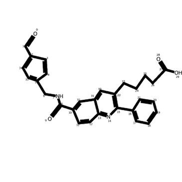 O=Cc1ccc(CNC(=O)c2ccc3nc(-c4ccccc4)c(CCCCC(=O)O)cc3c2)cc1